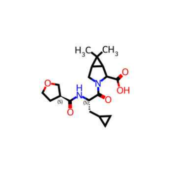 CC1(C)C2CN(C(=O)[C@H](CC3CC3)NC(=O)[C@H]3CCOC3)C(C(=O)O)C21